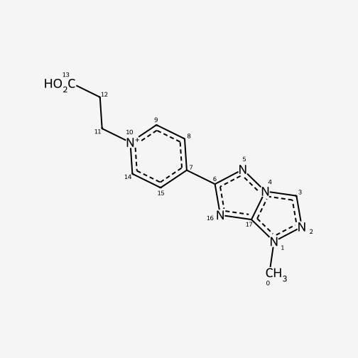 Cn1ncn2nc(-c3cc[n+](CCC(=O)O)cc3)nc12